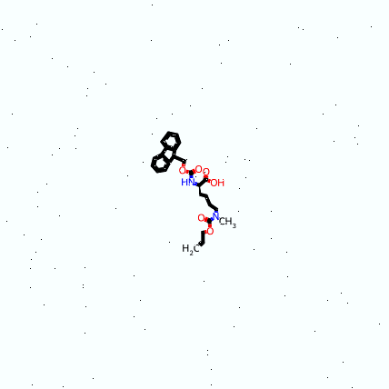 C=CCOC(=O)N(C)CCCC[C@@H](NC(=O)OCC1c2ccccc2-c2ccccc21)C(=O)O